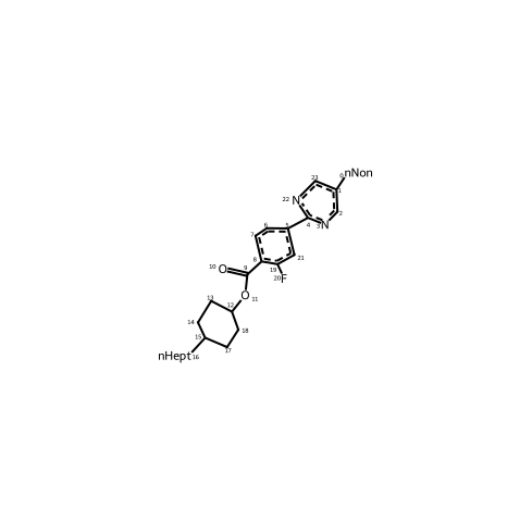 CCCCCCCCCc1cnc(-c2ccc(C(=O)OC3CCC(CCCCCCC)CC3)c(F)c2)nc1